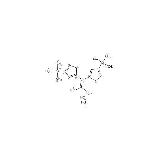 C[C](C)=[Zr]([C]1=CC([Si](C)(C)C)=CC1)[C]1=CC([Si](C)(C)C)=CC1.Cl.Cl